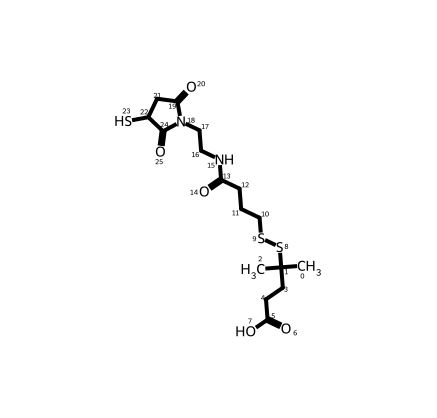 CC(C)(CCC(=O)O)SSCCCC(=O)NCCN1C(=O)CC(S)C1=O